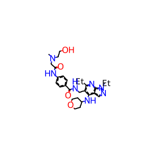 CCc1nc2c(cnn2CC)c(NC2CCOCC2)c1CNC(=O)c1ccc(NC(=O)CN(C)CCO)cc1